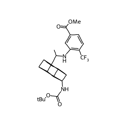 COC(=O)c1ccc(C(F)(F)F)c(NC(C)C23C4C5C2C2C3C4C52NC(=O)OC(C)(C)C)c1